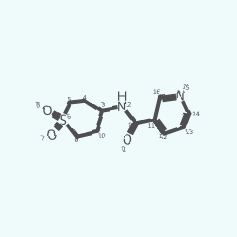 O=C(NC1CCS(=O)(=O)CC1)c1cccnc1